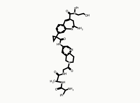 CCCN(CCO)C(=O)C1=Cc2ccc(C3(C(=O)Nc4cnc5c(c4)CN(C(=O)CNC(=O)C(C)NC(=O)C(N)C(C)C)CC5)CC3)cc2N=C(N)C1